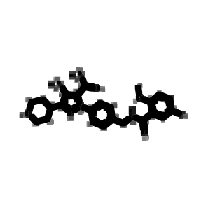 COc1ccc(F)cc1C(=O)NCc1ccc(-n2nc(C3CCOCC3)c(N)c2C(N)=O)cc1